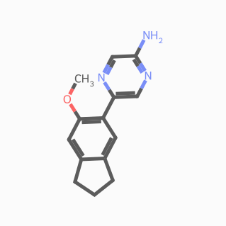 COc1cc2c(cc1-c1cnc(N)cn1)CCC2